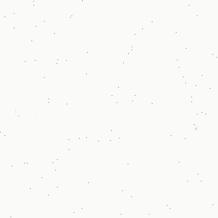 CCCC1CCC(c2ccc(C3CCC(c4ccc(OC(F)(F)C=C(F)F)cc4)CC3)c(F)c2)CC1